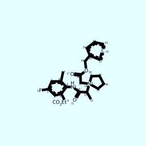 CCOC(=O)c1cc(F)cc(C)c1NC(=O)C(C)[N+]1(CC(=O)OCc2ccccc2)CCCC1